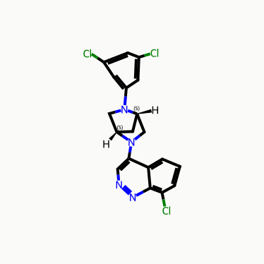 Clc1cc(Cl)cc(N2C[C@@H]3C[C@H]2CN3c2cnnc3c(Cl)cccc23)c1